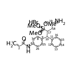 Br.C=CC(=O)Nc1ccc(C(c2ccccc2)C(CCN)[Si](OC)(OC)OC)cc1